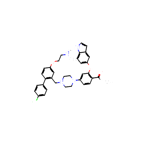 COC(=O)c1ccc(N2CCN(Cc3cc(OCCN(C)C)ccc3-c3ccc(Cl)cc3)CC2)cc1Oc1ccc2[nH]ccc2c1